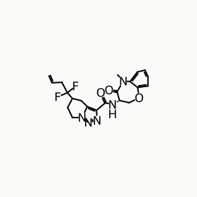 C=CCC(F)(F)C1CCn2nnc(C(=O)N[C@H]3COc4ccccc4N(C)C3=O)c2C1